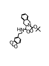 CC(C)(C)OC(=O)N1Cc2ccccc2C[C@@H]1C(=O)NCCc1ccc2c(c1)OCO2